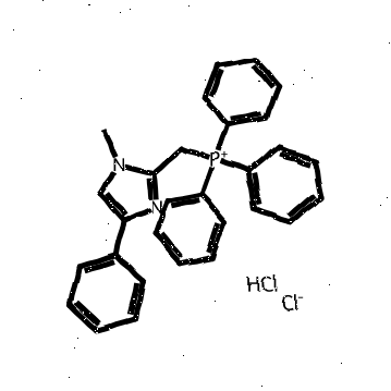 Cl.Cn1cc(-c2ccccc2)nc1C[P+](c1ccccc1)(c1ccccc1)c1ccccc1.[Cl-]